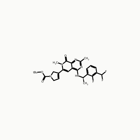 Cc1nc(N[C@H](C)c2cccc(C(F)F)c2F)c2cc(C3=CCN(C(=O)OC(C)(C)C)C3)n(C)c(=O)c2n1